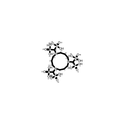 O=P(O)(O)C(N1CCCN(C(P(=O)(O)O)P(=O)(O)O)CCCN(C(P(=O)(O)O)P(=O)(O)O)CCC1)P(=O)(O)O